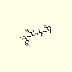 CCC(=O)N(C)CCN(CCOC(=O)NCCN1C(=O)C=CC1=O)C(=O)CC